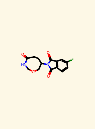 O=C1CCC(N2C(=O)c3ccc(F)cc3C2=O)COCN1